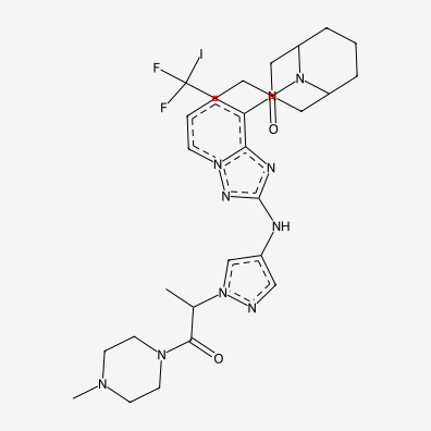 CC(C(=O)N1CCN(C)CC1)n1cc(Nc2nc3c(N4CC5CCCC(C4)N5C(=O)CCC(F)(F)I)cccn3n2)cn1